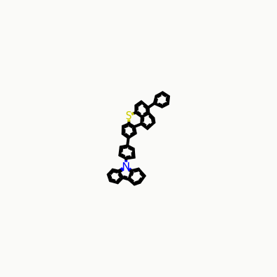 c1ccc(-c2ccc3c4c(cccc24)-c2cc(-c4ccc(-n5c6ccccc6c6ccccc65)cc4)ccc2S3)cc1